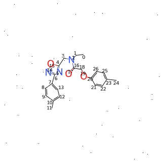 CCN(Cc1nc(-c2ccc(C)cc2)no1)C(=O)COc1ccc(C)cc1